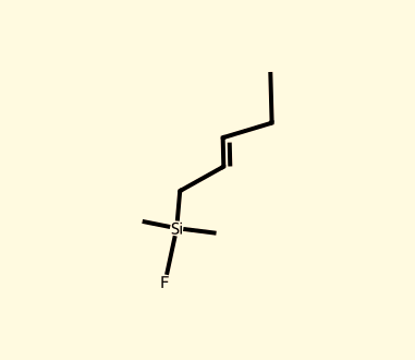 CCC=CC[Si](C)(C)F